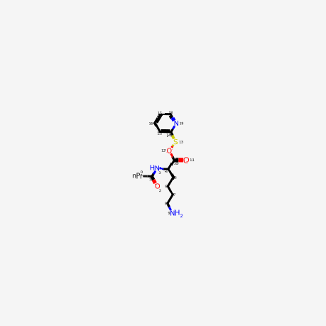 CCCC(=O)NC(CCCCN)C(=O)OSc1ccccn1